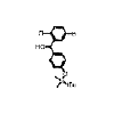 CC(C)(C)[Si](C)(C)Oc1ccc(C(O)c2cc(Br)ccc2Cl)cc1